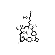 C/C(=C\c1cc(F)cc(N2CCOCC2)c1)[C@@H](C=O)[C@@H](C)/C=C/[C@H](OC(=O)N1CCN(C2CCC2)CC1)[C@@H](C)CC[C@@H](O)CC=O